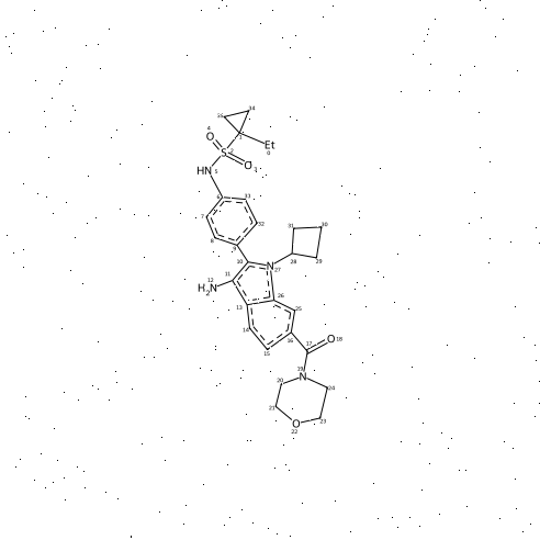 CCC1(S(=O)(=O)Nc2ccc(-c3c(N)c4ccc(C(=O)N5CCOCC5)cc4n3C3CCC3)cc2)CC1